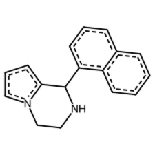 c1ccc2c(C3NCCn4cccc43)cccc2c1